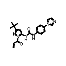 C=CC(=O)n1nc(C(C)(C)C)cc1NC(=O)Nc1ccc(-n2ccnc2)cc1